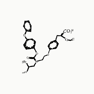 CCCC(CCC)CN(CCOc1ccc(CC(OCC)C(=O)O)cc1)C(=O)Oc1ccc(Oc2ccccc2)cc1